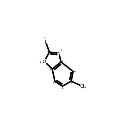 Clc1ccc2oc(I)nc2c1